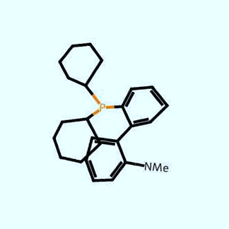 CNc1ccccc1-c1ccccc1P(C1CCCCC1)C1CCCCC1